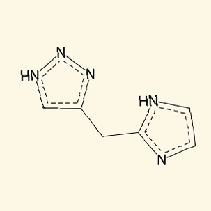 c1c[nH]c(Cc2c[nH]nn2)n1